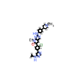 CCn1c(=O)c(-c2ccc(-c3cc(NC4CC4)ncn3)cc2Cl)cc2cnc(Nc3ccc(C4CCN(C)CC4)cc3)nc21